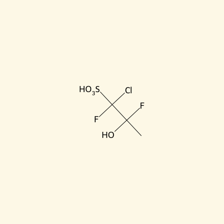 CC(O)(F)C(F)(Cl)S(=O)(=O)O